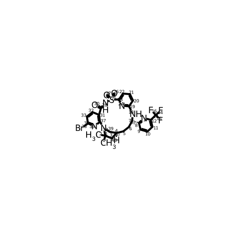 CC1(C)C[C@@H]2CC[C@@H](c3cccc(C(F)(F)F)n3)Nc3cccc(n3)S(=O)(=O)NC(=O)c3ccc(Br)nc3N1C2